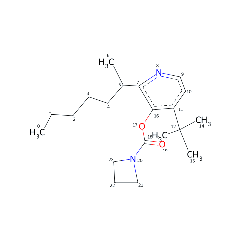 CCCCCC(C)c1nccc(C(C)(C)C)c1OC(=O)N1CCC1